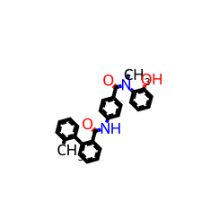 Cc1ccccc1-c1ccccc1C(=O)Nc1ccc(C(=O)N(C)c2ccccc2O)cc1